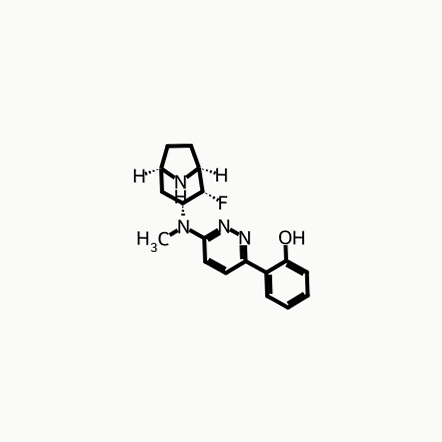 CN(c1ccc(-c2ccccc2O)nn1)[C@@H]1C[C@H]2CC[C@H](N2)[C@@H]1F